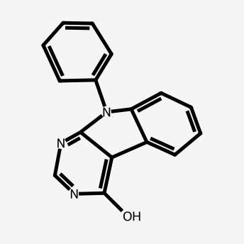 Oc1ncnc2c1c1ccccc1n2-c1ccccc1